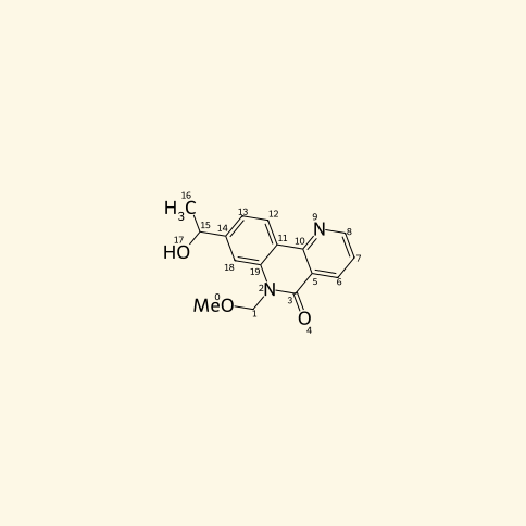 COCn1c(=O)c2cccnc2c2ccc(C(C)O)cc21